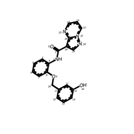 O=C(Nc1ccccc1OCc1cccc(O)c1)c1cnn2cccnc12